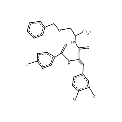 O=C(NC(COCc1ccccc1)C(=O)O)C(=Cc1ccc(Cl)c(Cl)c1)NC(=O)c1ccc(Cl)cc1